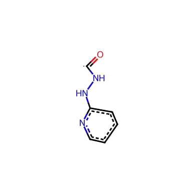 O=[C]NNc1ccccn1